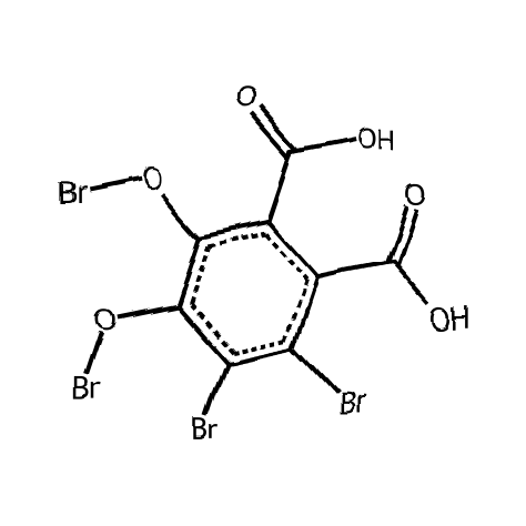 O=C(O)c1c(Br)c(Br)c(OBr)c(OBr)c1C(=O)O